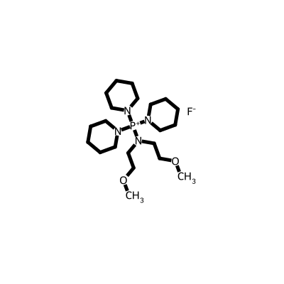 COCCN(CCOC)[P+](N1CCCCC1)(N1CCCCC1)N1CCCCC1.[F-]